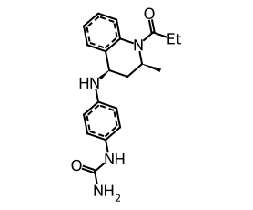 CCC(=O)N1c2ccccc2[C@H](Nc2ccc(NC(N)=O)cc2)C[C@@H]1C